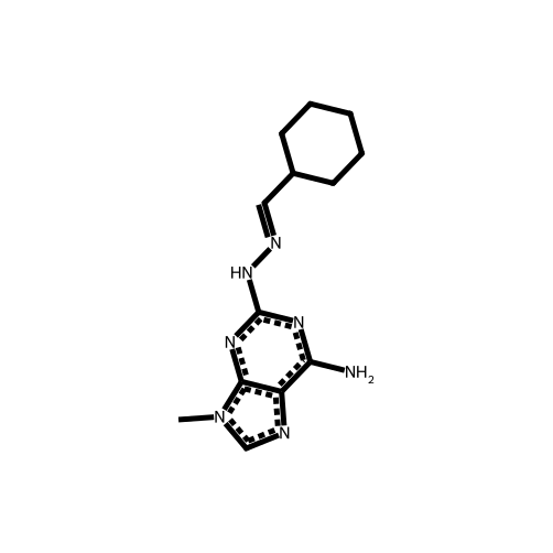 Cn1cnc2c(N)nc(N/N=C/C3CCCCC3)nc21